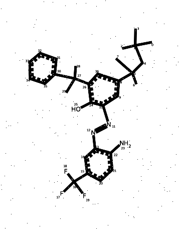 CC(C)(C)CC(C)(C)c1cc(/N=N/c2cc(C(F)(F)F)ccc2N)c(O)c(C(C)(C)c2ccccc2)c1